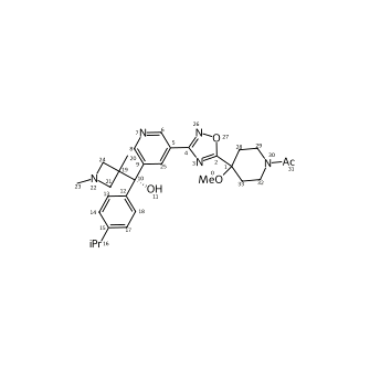 COC1(c2nc(-c3cncc([C@@](O)(c4ccc(C(C)C)cc4)C4(C)CN(C)C4)c3)no2)CCN(C(C)=O)CC1